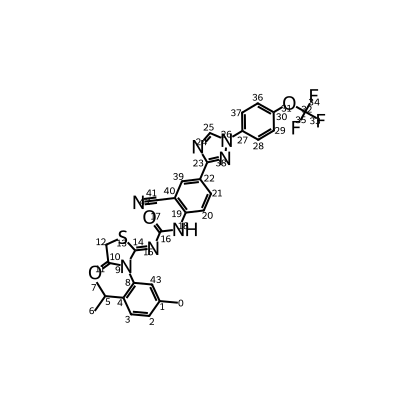 Cc1ccc(C(C)C)c(N2C(=O)CSC2=NC(=O)Nc2ccc(-c3ncn(-c4ccc(OC(F)(F)F)cc4)n3)cc2C#N)c1